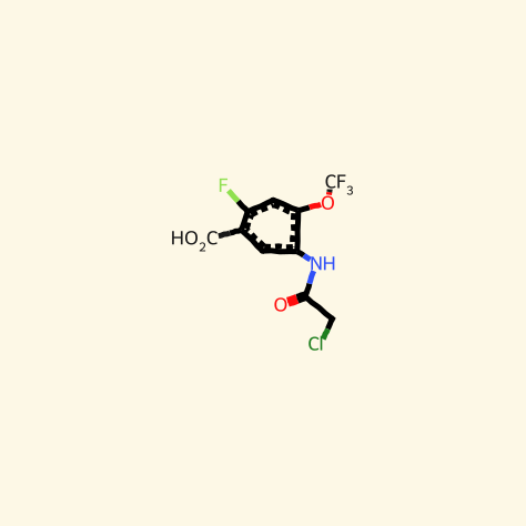 O=C(CCl)Nc1cc(C(=O)O)c(F)cc1OC(F)(F)F